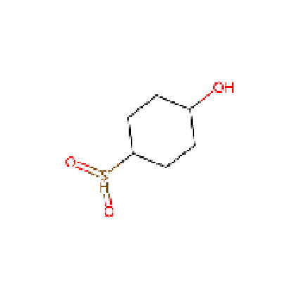 O=[SH](=O)C1CCC(O)CC1